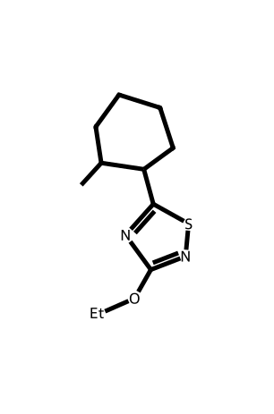 CCOc1nsc(C2CCCCC2C)n1